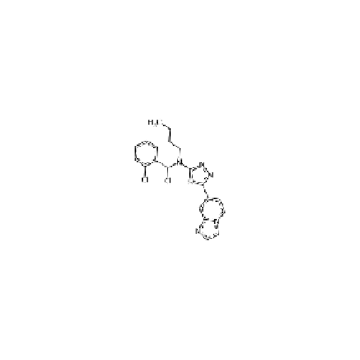 CCCCN(c1nnc(-c2ccn3ccnc3c2)s1)C(Cl)c1ccccc1Cl